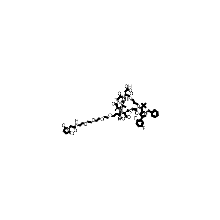 CC(=O)N[C@@H](C)C(=O)N[C@H](C)C(=O)N[C@@H](CC(=O)O)C(=O)NCCCN(C(=O)CSC[C@H](NC(=O)CCOCCOCCOCCOCCNC(=O)CN1C(=O)C=CC1=O)C(=O)O)[C@@H](c1cc(-c2cc(F)ccc2F)cn1Cc1ccccc1)C(C)(C)C